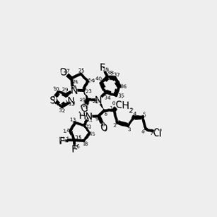 C=C(/C=C\C=C/CCl)[C@@H](C(=O)NC1CCC(F)(F)CC1)N(C(=O)[C@@H]1CCC(=O)N1c1cscn1)c1cccc(F)c1